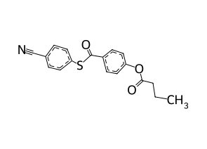 CCCC(=O)Oc1ccc(C(=O)Sc2ccc(C#N)cc2)cc1